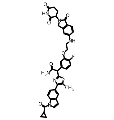 Cc1sc(C(C(N)=O)c2ccc(F)c(OCCNc3ccc4c(c3)CN(C3CCC(=O)NC3=O)C4=O)c2)nc1-c1ccc2c(ccn2C(=O)C2CC2)c1